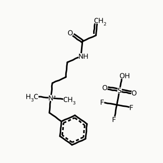 C=CC(=O)NCCC[N+](C)(C)Cc1ccccc1.O=S(=O)(O)C(F)(F)F